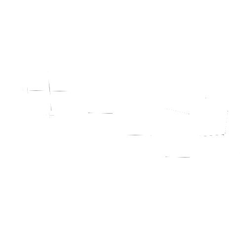 [2H]C([2H])([2H])C=CC=CC[C@@H](C)C(C)[C@H]1C(=O)CCC1C